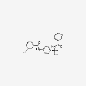 O=C(Nc1ccc(C2(NC(=O)c3cnccn3)CCC2)cc1)c1cccc(Cl)c1